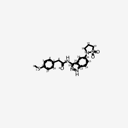 CSc1ccc(CC(=O)Nc2n[nH]c3ccc(N4CCCS4(=O)=O)cc23)cc1